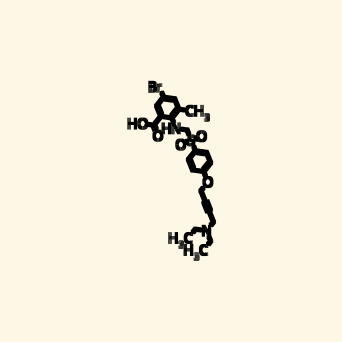 CCN(CC)CC#CCOc1ccc(S(=O)(=O)CNc2c(C)cc(Br)cc2C(=O)O)cc1